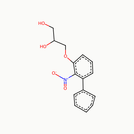 O=[N+]([O-])c1c(OCC(O)CO)cccc1-c1ccccc1